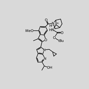 COc1cc(C(=O)N2CC3CCC2[C@@H]3NC(=O)OC(C)(C)C)cc2oc(-c3cc4ccc(C(C)O)nc4n3CC3CC3)c(C)c12